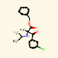 CC(C)NC(C)(C(=O)OCc1ccccc1)C(=O)c1cccc(Cl)c1